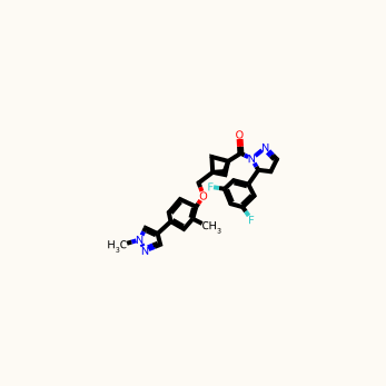 Cc1cc(-c2cnn(C)c2)ccc1OCC12CC(C(=O)N3N=CCC3c3cc(F)cc(F)c3)(C1)C2